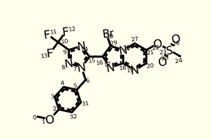 COc1ccc(Cn2nc(C(F)(F)F)nc2-c2nc3ncc(OS(C)(=O)=O)cn3c2Br)cc1